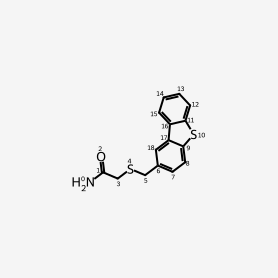 NC(=O)CSCc1ccc2sc3ccccc3c2c1